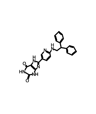 O=c1[nH]c(=O)c2[nH]c(-c3ccc(NCC(c4ccccc4)c4ccccc4)nc3)nc2[nH]1